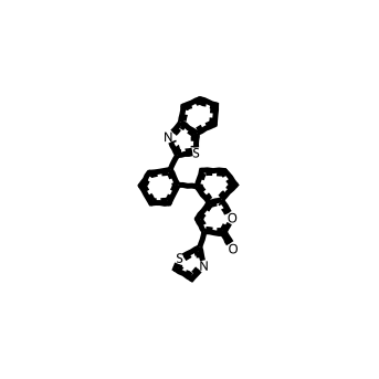 O=c1oc2cccc(-c3ccccc3-c3nc4ccccc4s3)c2cc1-c1nccs1